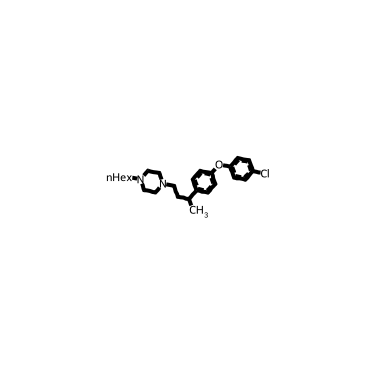 CCCCCCN1CCN(CCC(C)c2ccc(Oc3ccc(Cl)cc3)cc2)CC1